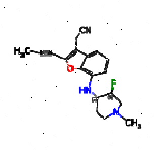 CC#Cc1oc2c(N[C@H]3CCN(C)C[C@@H]3F)cccc2c1CC#N